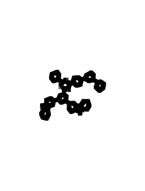 c1ccc(-c2cccc(-c3ccc(-c4nc(-c5ccccc5)nc(-c5cc(-c6ccc7sc8ccccc8c7c6)cc(-c6ccc7sc8ccccc8c7c6)c5)n4)cc3)c2)cc1